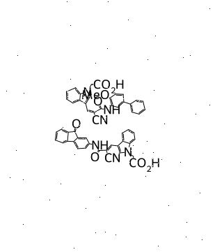 COc1ccc(-c2ccccc2)cc1NC(=O)C(C#N)=Cc1cn(CC(=O)O)c2ccccc12.N#CC(=Cc1cn(CC(=O)O)c2ccccc12)C(=O)Nc1ccc2c(c1)C(=O)c1ccccc1-2